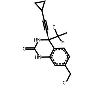 CC(F)(F)[C@@]1(C#CC2CC2)NC(=O)Nc2cc(CCl)ccc21